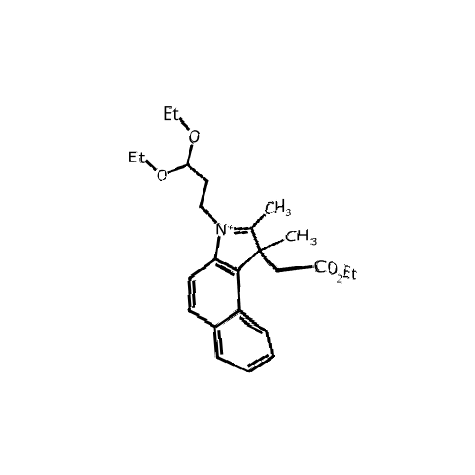 CCOC(=O)CC1(C)C(C)=[N+](CCC(OCC)OCC)c2ccc3ccccc3c21